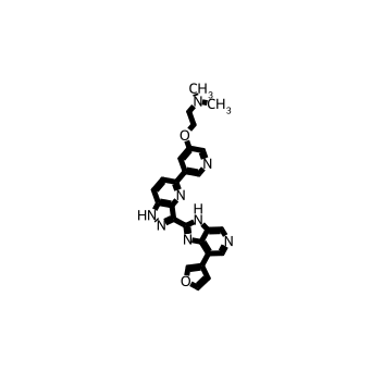 CN(C)CCOc1cncc(-c2ccc3[nH]nc(-c4nc5c(-c6ccoc6)cncc5[nH]4)c3n2)c1